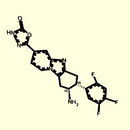 N[C@H]1Cc2c(nc3cc(-c4n[nH]c(=O)o4)ccn23)C[C@@H]1c1cc(F)c(F)cc1F